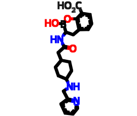 O=C(CC1CCC(NCc2ccccn2)CC1)NC1Cc2cccc(C(=O)O)c2OB1O